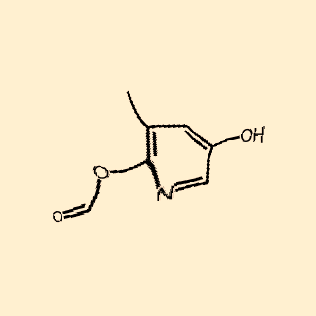 Cc1cc(O)cnc1OC=O